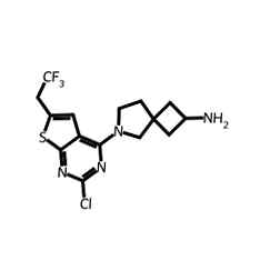 NC1CC2(CCN(c3nc(Cl)nc4sc(CC(F)(F)F)cc34)C2)C1